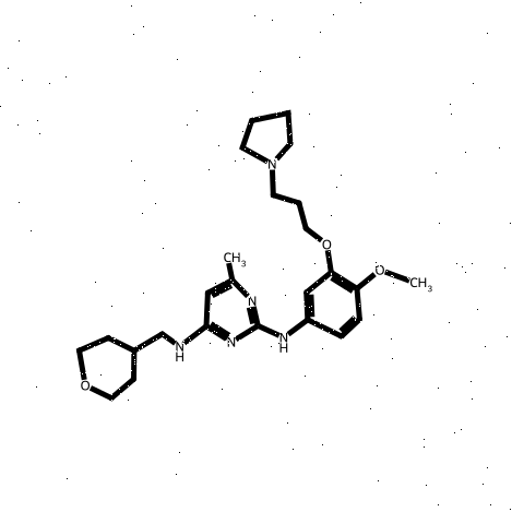 COc1ccc(Nc2nc(C)cc(NCC3CCOCC3)n2)cc1OCCCN1CCCC1